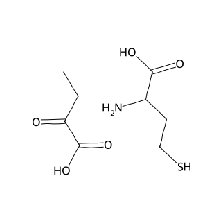 CCC(=O)C(=O)O.NC(CCS)C(=O)O